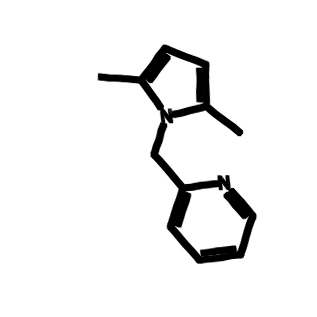 Cc1ccc(C)n1Cc1ccccn1